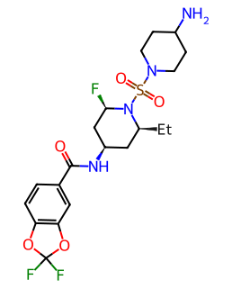 CC[C@H]1C[C@@H](NC(=O)c2ccc3c(c2)OC(F)(F)O3)C[C@@H](F)N1S(=O)(=O)N1CCC(N)CC1